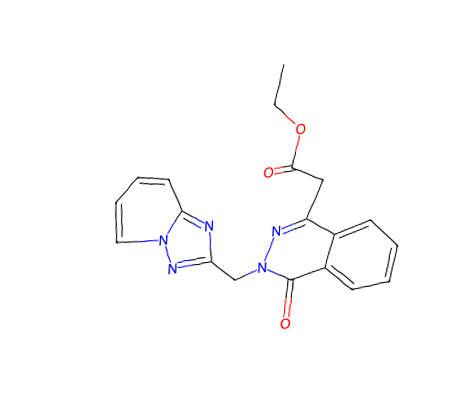 CCOC(=O)Cc1nn(Cc2nc3ccccn3n2)c(=O)c2ccccc12